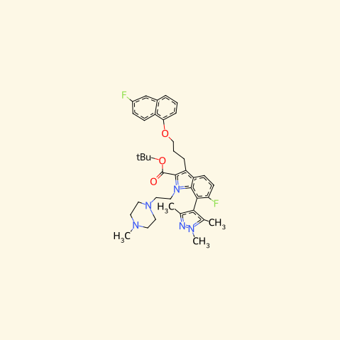 Cc1nn(C)c(C)c1-c1c(F)ccc2c(CCCOc3cccc4cc(F)ccc34)c(C(=O)OC(C)(C)C)n(CCN3CCN(C)CC3)c12